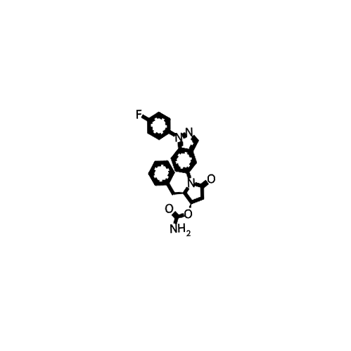 NC(=O)O[C@H]1CC(=O)N(c2ccc3c(cnn3-c3ccc(F)cc3)c2)[C@@H]1Cc1ccccc1